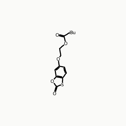 CCC(C)C(=O)OCCOc1ccc2sc(=O)oc2c1